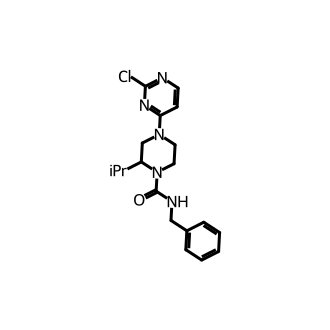 CC(C)C1CN(c2ccnc(Cl)n2)CCN1C(=O)NCc1ccccc1